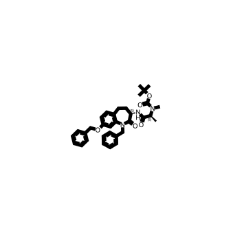 C[C@@H](C(=O)N[C@H]1CCc2ccc(OCc3ccccc3)cc2N(Cc2ccccc2)C1=O)N(C)C(=O)OC(C)(C)C